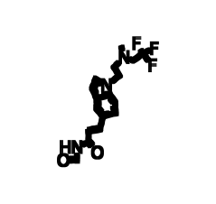 CN(CCn1ccc2cc(C=CC(=O)NC=O)ccc21)CC(F)(F)F